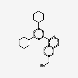 CC(C)(C)Cc1ccc2c(-c3cc(C4CCCCC4)cc(C4CCCCC4)c3)nccc2c1